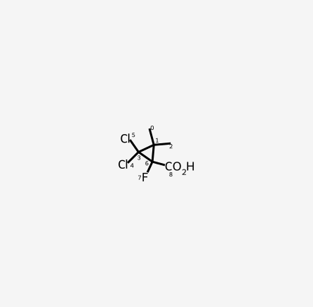 CC1(C)C(Cl)(Cl)C1(F)C(=O)O